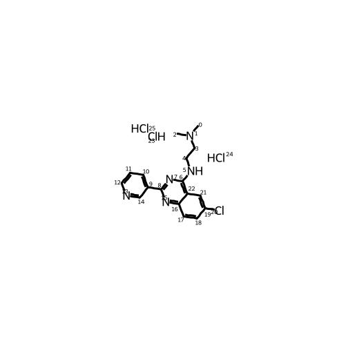 CN(C)CCNc1nc(-c2cccnc2)nc2ccc(Cl)cc12.Cl.Cl.Cl